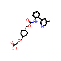 Cc1cncc(-c2ccccc2NC(=O)OC[C@H]2CC[C@H](COCC(=O)O)CC2)c1